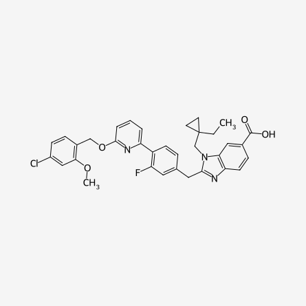 CCC1(Cn2c(Cc3ccc(-c4cccc(OCc5ccc(Cl)cc5OC)n4)c(F)c3)nc3ccc(C(=O)O)cc32)CC1